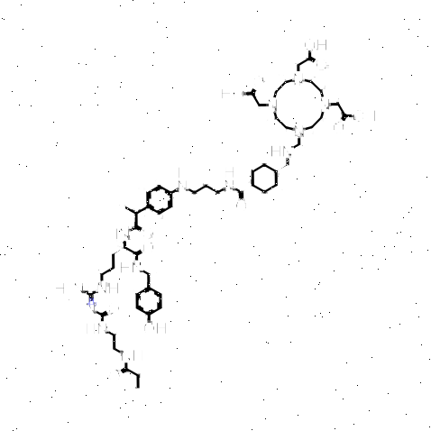 CCC(=O)NCCNC(=O)/N=C(/N)NCCC[C@@H](NC(=O)C(C)c1ccc(NCCCNC(=O)[C@H]2CC[C@H](CNCN3CCN(CC(=O)O)CCN(CC(=O)O)CCN(CC(=O)O)CC3)CC2)cc1)C(=O)NCc1ccc(O)cc1